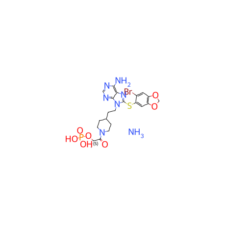 C[C@H](OP(=O)(O)O)C(=O)N1CCC(CCn2c(Sc3cc4c(cc3Br)OCO4)nc3c(N)ncnc32)CC1.N